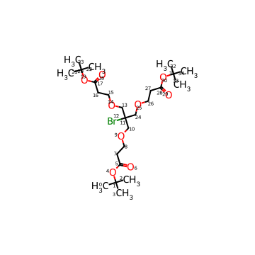 CC(C)(C)OC(=O)CCOCC(Br)(COCCC(=O)OC(C)(C)C)COCCC(=O)OC(C)(C)C